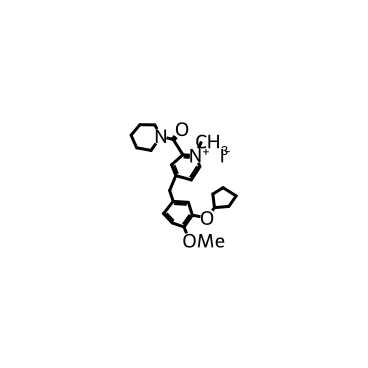 COc1ccc(Cc2cc[n+](C)c(C(=O)N3CCCCC3)c2)cc1OC1CCCC1.[I-]